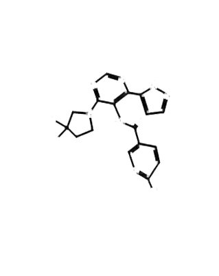 CC(C)c1ccc(C(=O)Nc2c(-c3ccn[nH]3)ncnc2N2CCC(F)(F)C2)cn1